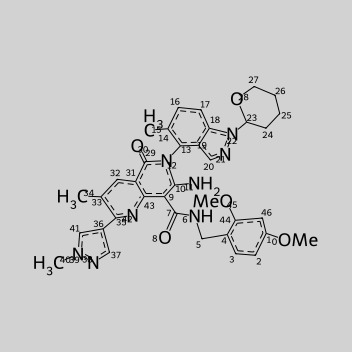 COc1ccc(CNC(=O)c2c(N)n(-c3c(C)ccc4c3cnn4C3CCCCO3)c(=O)c3cc(C)c(-c4cnn(C)c4)nc23)c(OC)c1